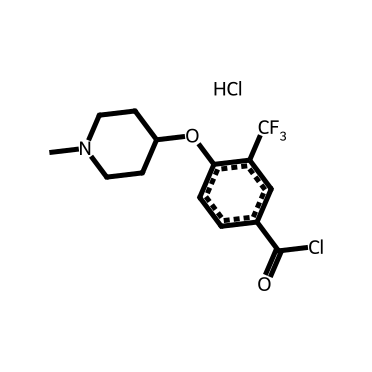 CN1CCC(Oc2ccc(C(=O)Cl)cc2C(F)(F)F)CC1.Cl